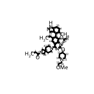 C=CC(=O)N1CC2(CCN(c3nc(OC4CCN(CCOC)CC4)nc4c(OC(F)F)c(-c5c(C)ccc6[nH]ncc56)c(C=C)cc34)CC2)C1